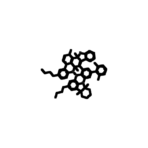 CCCCc1ccc2c(c1)C1(C)C=CC(C)C3=C1C1(C)C(=C4c5ccccc5SC43C)c3cc(-c4c(C)cccc4C)cc4c3B(c3cc(CCCC)cc5c3N4C3(C)CCCCC53C)N21